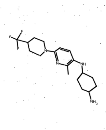 Cc1nc(N2CCC(C(F)(F)F)CC2)ccc1NC1CCC(N)CC1